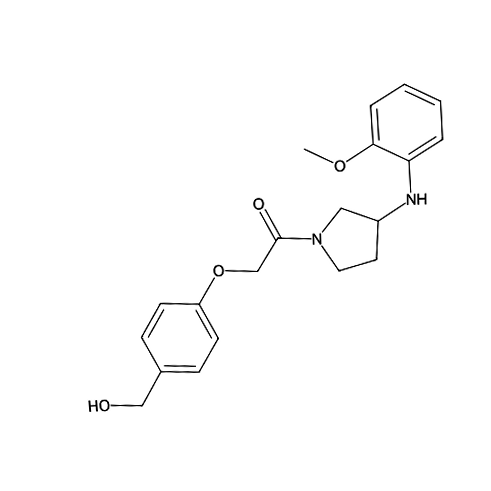 COc1ccccc1NC1CCN(C(=O)COc2ccc(CO)cc2)C1